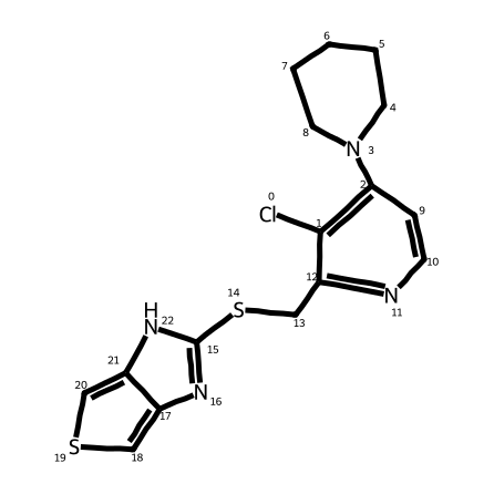 Clc1c(N2CCCCC2)ccnc1CSc1nc2cscc2[nH]1